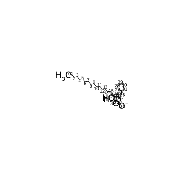 CCCCCCCCCCCCCCCCC(O)C[N+](C)(CC(=O)[O-])Cc1ccccc1